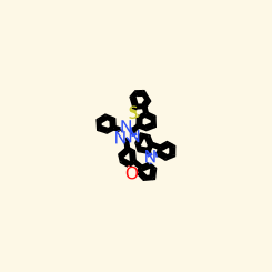 c1ccc(-c2nc(-c3ccc4oc5cccc(-n6c7ccccc7c7ccccc76)c5c4c3)nc(-c3cccc4c3sc3ccccc34)n2)cc1